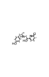 C[C@H](Cc1ccc(O)cc1)NCC(O)c1cccc(Cl)n1